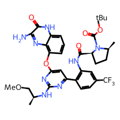 COC[C@H](C)Nc1nc(Oc2cccc3[nH]c(=O)c(N)nc23)cc(-c2ccc(C(F)(F)F)cc2NC(=O)[C@@H]2CC[C@H](C)N2C(=O)OC(C)(C)C)n1